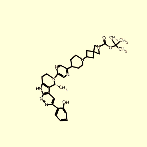 C[C@@H]1c2c([nH]c3nnc(-c4ccccc4O)cc23)CCN1c1cnc(C2CCN(C3CC4(C3)CN(C(=O)OC(C)(C)C)C4)CC2)cn1